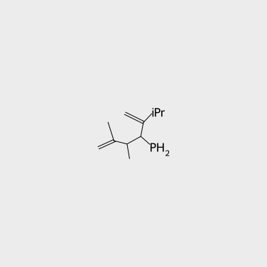 C=C(C)C(C)C(P)C(=C)C(C)C